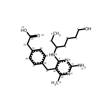 CCC(CCCCO)Nc1nc(N)nc(C)c1Cc1ccc(CC(=O)O)cc1